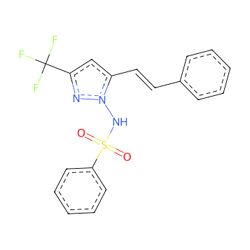 O=S(=O)(Nn1nc(C(F)(F)F)cc1C=Cc1ccccc1)c1ccccc1